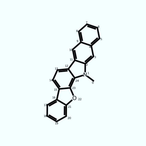 Cn1c2cc3ccccc3cc2c2ccc3c4ccccc4oc3c21